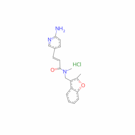 Cc1oc2ccccc2c1CN(C)C(=O)C=Cc1ccc(N)nc1.Cl